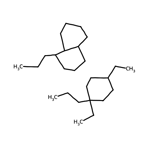 CCCC1(CC)CCC(CC)CC1.CCCC1CCCC2CCCCC12